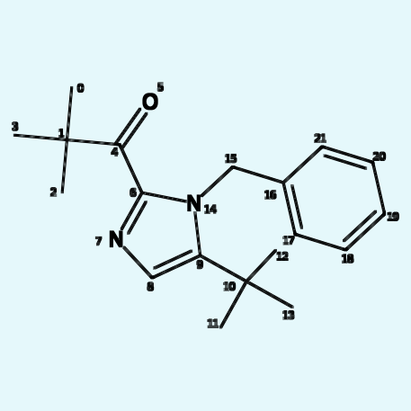 CC(C)(C)C(=O)c1ncc(C(C)(C)C)n1Cc1ccccc1